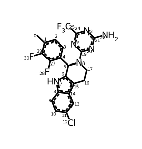 Cc1ccc(C2c3[nH]c4ccc(Cl)cc4c3CCN2c2nc(N)nc(C(F)(F)F)n2)c(F)c1F